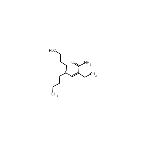 CCCCN(C=C(CC)C(N)=O)CCCC